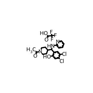 CC(=O)N1CCC(C(Nc2ccccn2)c2cc(Cl)c(Cl)cc2O)CC1.O=C(O)C(F)(F)F